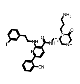 N#Cc1ccccc1-c1ccc(C(=O)NC[C@H]2CNCC(=O)N2CCCN)c(NCCc2cccc(F)c2)n1